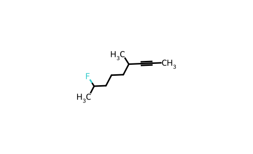 CC#CC(C)CCCC(C)F